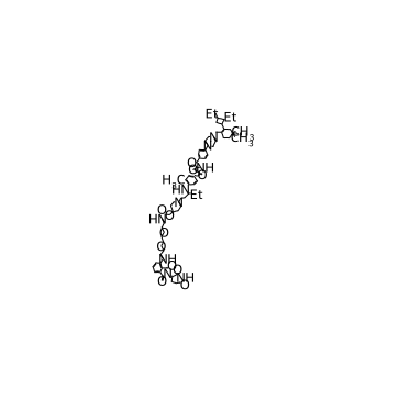 CCC(CCN1CCC(OC(=O)NCCOCCOCCNc2cccc3c2C(=O)N(C2CCC(=O)NC2=O)C3=O)CC1)Nc1ccc(S(=O)(=O)NC(=O)c2ccc(N3CCN(CC4=C(C5CC(CC)C5CC)CC(C)(C)CC4)CC3)cc2)cc1C